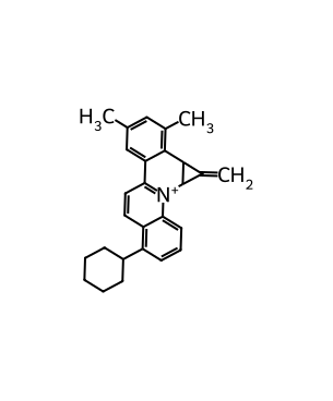 C=C1C2c3c(C)cc(C)cc3-c3ccc4c(C5CCCCC5)cccc4[n+]3C12